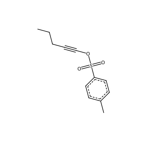 CCCC#COS(=O)(=O)c1ccc(C)cc1